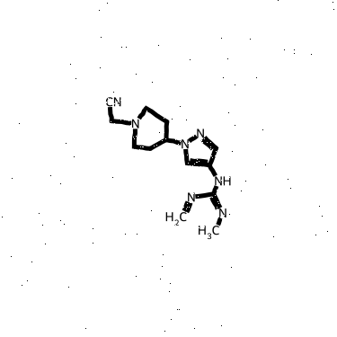 C=N/C(=N\C)Nc1cnn(C2CCN(CC#N)CC2)c1